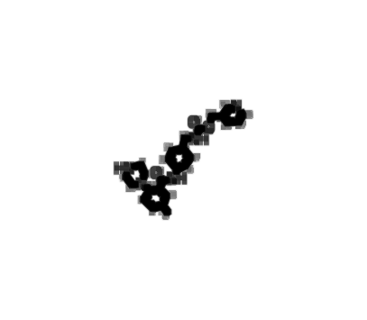 Cc1ccc(N2CCNCC2)c(C(=O)Nc2ccc(CNC(=O)OCc3cccnc3)cc2)c1